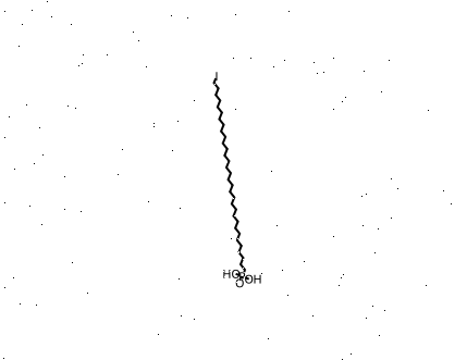 O=P(O)(O)CCCCCCCCCCCCCCCCCCCCCCCCCCCCCCCCI